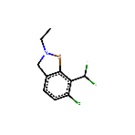 CCN1Cc2ccc(F)c(C(F)F)c2S1